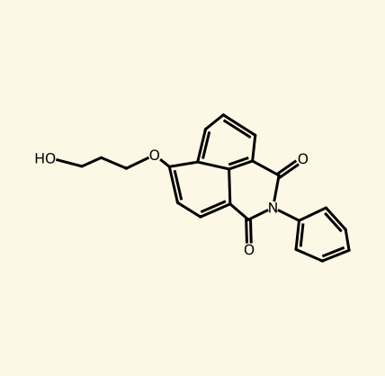 O=C1c2cccc3c(OCCCO)ccc(c23)C(=O)N1c1ccccc1